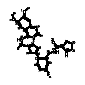 COc1cc2nc(C)nc(NC(C)c3ccc(-c4ccc(F)cc4CNC(=O)C4CCCN4)s3)c2cc1OC